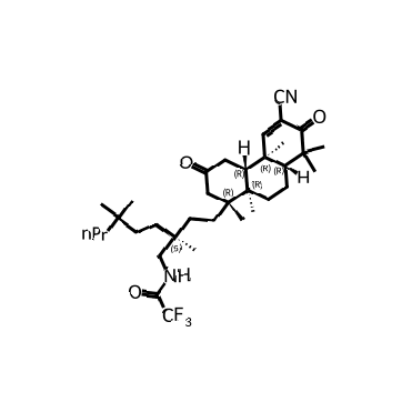 CCCC(C)(C)CC[C@@](C)(CC[C@]1(C)CC(=O)C[C@@H]2[C@@]3(C)C=C(C#N)C(=O)C(C)(C)[C@@H]3CC[C@]21C)CNC(=O)C(F)(F)F